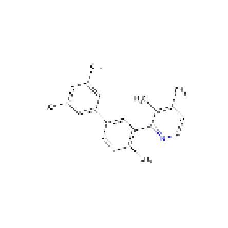 Cc1cc(C)cc(-c2ccc(C)c(-c3nccc(C)c3C)c2)c1